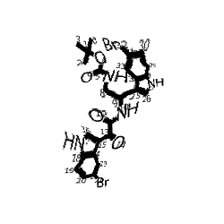 CC(C)(C)OC(=O)NCC(NC(=O)C(=O)c1c[nH]c2ccc(Br)cc12)c1c[nH]c2ccc(Br)cc12